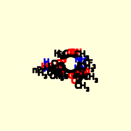 CCCNC[C@]1(O)[C@H](C)O[C@@H](OC2C(C)C(=O)OC(CC)C(C)(O)C(O)C(C)NCC(C)CC(C)(O)C(O[C@@H]3O[C@H](C)C[C@H](N(C)S(=O)(=O)NCC(F)(F)F)[C@H]3O)C2C)C[C@@]1(C)OC